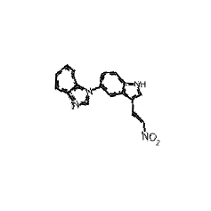 O=[N+]([O-])C=Cc1c[nH]c2ccc(-n3cnc4ccccc43)cc12